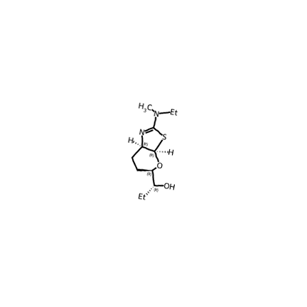 CC[C@@H](O)[C@H]1CC[C@H]2N=C(N(C)CC)S[C@H]2O1